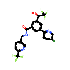 O=C(NCc1ccc(C(F)(F)F)nc1)c1cc(-c2ccc(Cl)cn2)cc(C(O)C(F)(F)F)c1